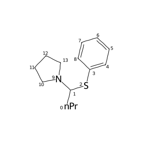 CCCC(Sc1ccccc1)N1CCCC1